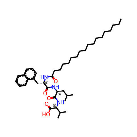 CCCCCCCCCCCCCCCCCC(=O)N[C@@H](Cc1cccc2ccccc12)C(=O)N[C@@H](CC(C)C)C(=O)N[C@H](C(=O)O)C(C)C